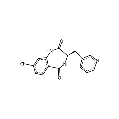 O=C1N[C@H](Cc2cccnc2)C(=O)Nc2cc(Cl)ccc21